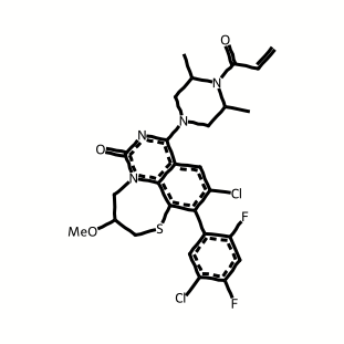 C=CC(=O)N1C(C)CN(c2nc(=O)n3c4c(c(-c5cc(Cl)c(F)cc5F)c(Cl)cc24)SCC(OC)C3)CC1C